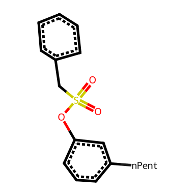 CCCCCc1cccc(OS(=O)(=O)Cc2ccccc2)c1